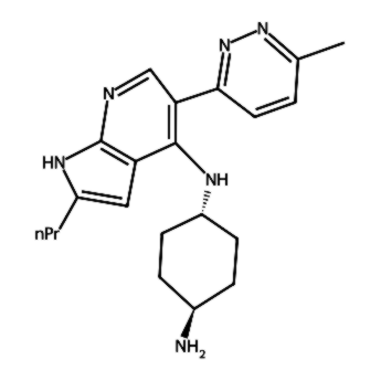 CCCc1cc2c(N[C@H]3CC[C@H](N)CC3)c(-c3ccc(C)nn3)cnc2[nH]1